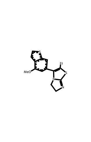 CCC1=C(c2cc(OC)c3ccsc3c2)N2CCN=C2S1